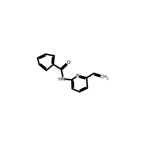 C=Cc1cccc(NC(=O)c2ccccc2)n1